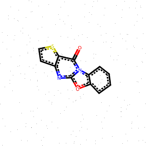 O=c1c2sccc2nc2oc3ccccc3n12